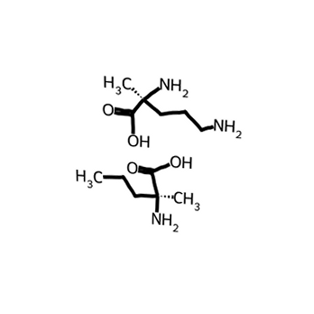 CCC[C@](C)(N)C(=O)O.C[C@](N)(CCCN)C(=O)O